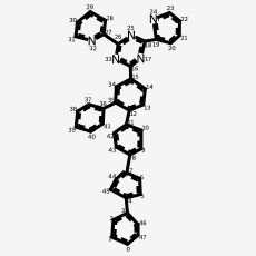 c1ccc(-c2ccc(-c3ccc(-c4ccc(-c5nc(-c6ccccn6)nc(-c6ccccn6)n5)cc4-c4ccccc4)cc3)cc2)cc1